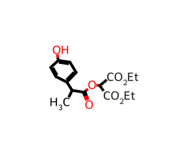 CCOC(=O)C(OC(=O)C(C)c1ccc(O)cc1)C(=O)OCC